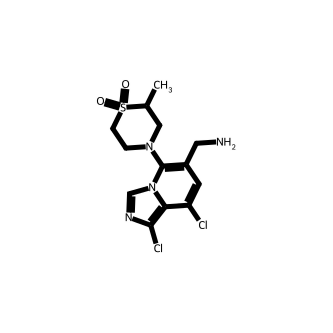 CC1CN(c2c(CN)cc(Cl)c3c(Cl)ncn23)CCS1(=O)=O